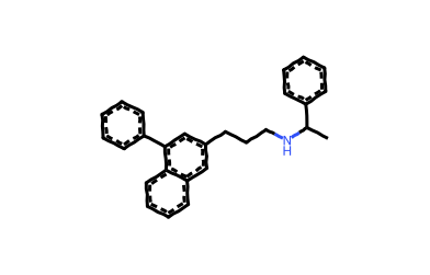 CC(NCCCc1cc(-c2ccccc2)c2ccccc2c1)c1ccccc1